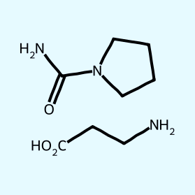 NC(=O)N1CCCC1.NCCC(=O)O